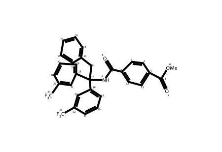 COC(=O)c1ccc(C(=O)NC(Cc2ccccc2)(c2cccc(C(F)(F)F)c2)c2cccc(C(F)(F)F)c2)cc1